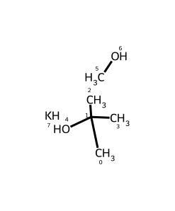 CC(C)(C)O.CO.[KH]